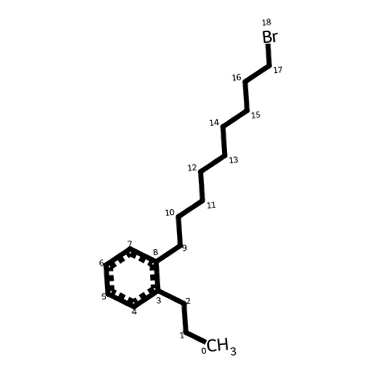 CCCc1ccccc1CCCCCCCCCBr